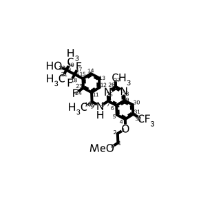 COCCOc1cc2c(N[C@H](C)c3cccc(C(F)(F)C(C)(C)O)c3F)nc(C)nc2cc1C(F)(F)F